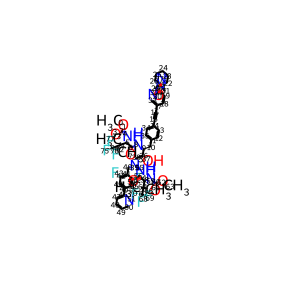 COC(=O)NC(C(=O)N[C@@H](Cc1ccc(C#Cc2ccc(N3CC4CC(C3)N4C3COC3)nc2)cc1)[C@@H](O)CN(Cc1c(F)cc(-c2ccccn2)cc1F)NC(=O)[C@@H](NC(=O)OC)C(C)(C)C(F)(F)F)C(C)(C)C(F)(F)F